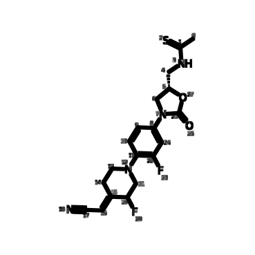 CC(=S)NC[C@H]1CN(c2ccc(N3CC/C(=C\C#N)C(F)C3)c(F)c2)C(=O)O1